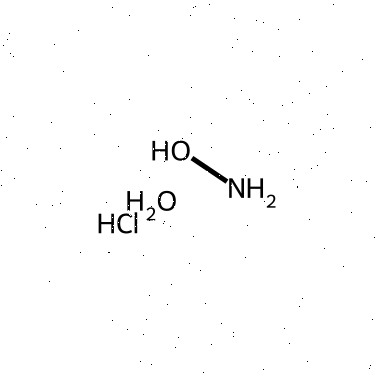 Cl.NO.O